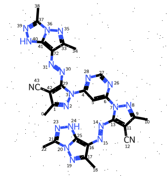 Cc1nn(-c2cc(-n3nc(C)c(C#N)c3/N=N/c3c(C)nn4c(C)n[nH]c34)ncn2)c(/N=N/c2c(C)nn3c(C)n[nH]c23)c1C#N